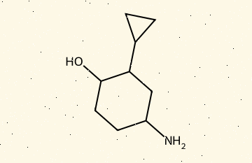 NC1CCC(O)C(C2CC2)C1